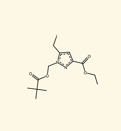 CCOC(=O)c1cc(CI)n(COC(=O)C(C)(C)C)n1